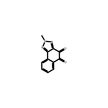 Cn1nc2c(n1)-c1ccccc1C(=O)C2=O